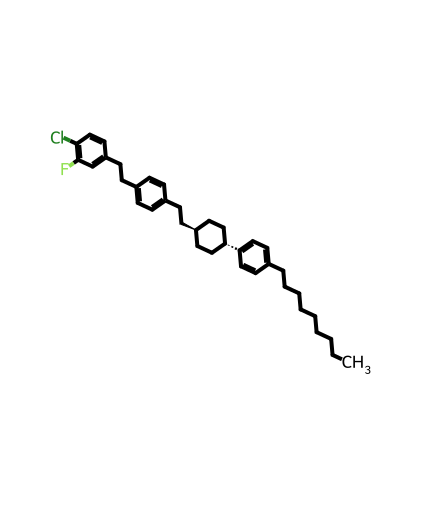 CCCCCCCCCc1ccc([C@H]2CC[C@H](CCc3ccc(CCc4ccc(Cl)c(F)c4)cc3)CC2)cc1